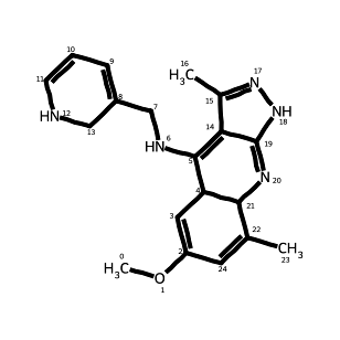 COC1=CC2C(NCC3=CC=CNC3)=c3c(C)n[nH]c3=NC2C(C)=C1